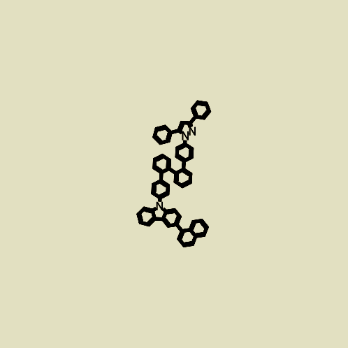 c1ccc(-c2cc(-c3ccccc3)n(-c3ccc(-c4ccccc4-c4ccccc4-c4ccc(-n5c6ccccc6c6cc(-c7cccc8ccccc78)ccc65)cc4)cc3)n2)cc1